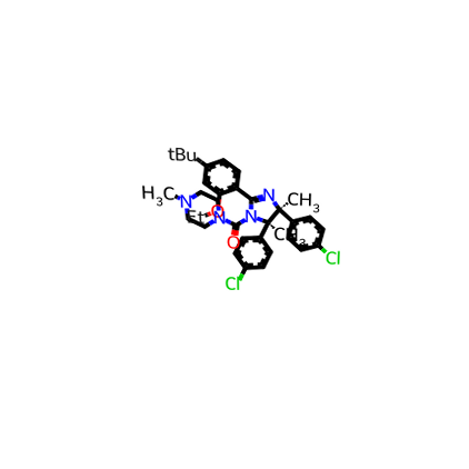 CCOc1cc(C(C)(C)C)ccc1C1=N[C@@](C)(c2ccc(Cl)cc2)[C@@](C)(c2ccc(Cl)cc2)N1C(=O)N1CCN(C)CC1